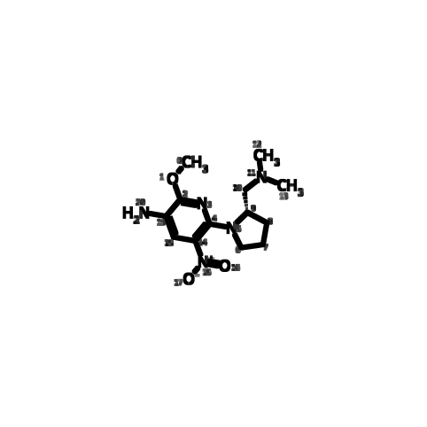 COc1nc(N2CCC[C@H]2CN(C)C)c([N+](=O)[O-])cc1N